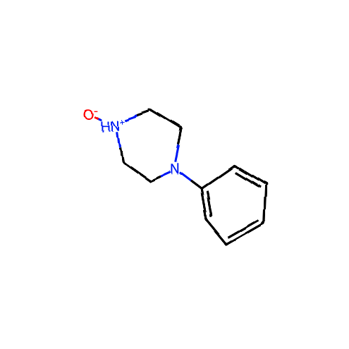 [O-][NH+]1CCN(c2ccccc2)CC1